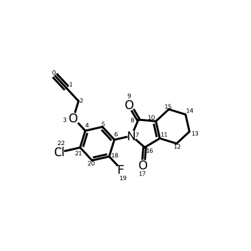 C#CCOc1cc(N2C(=O)C3=C(CCCC3)C2=O)c(F)cc1Cl